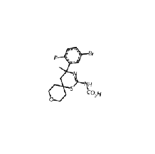 CC1(c2cc(Br)ccc2F)CC2(CCOCC2)SC(NC(=O)O)=N1